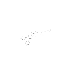 Cn1c(C(=O)NC[C@H](CCCNC(=O)O)NC(=O)O)nc2cc(-c3ccc(F)cc3)c(-c3ccc(F)cc3)cc21